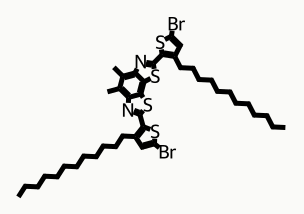 CCCCCCCCCCCCc1cc(Br)sc1-c1nc2c(C)c(C)c3nc(-c4sc(Br)cc4CCCCCCCCCCCC)sc3c2s1